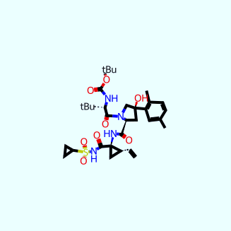 C=C[C@@H]1C[C@]1(NC(=O)[C@@H]1C[C@@](O)(c2cc(C)ccc2C)CN1C(=O)[C@@H](NC(=O)OC(C)(C)C)C(C)(C)C)C(=O)NS(=O)(=O)C1CC1